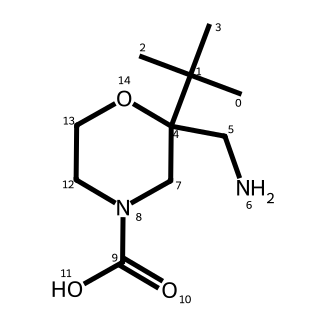 CC(C)(C)C1(CN)CN(C(=O)O)CCO1